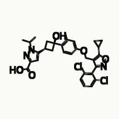 Cc1cc(OCc2c(-c3c(Cl)cccc3Cl)noc2C2CC2)ccc1[C@]1(O)C[C@@H](c2cc(C(=O)O)nn2C(C)C)C1